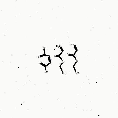 C=CC(=O)OCC.C=CC(=O)OCC.O=C(O)/C=C\C(=O)O